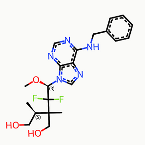 CO[C@@H](n1cnc2c(NCc3ccccc3)ncnc21)C(F)(F)C(C)(CO)[C@H](C)CO